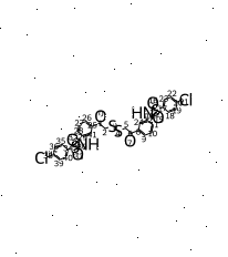 O=C(CSSCC(=O)c1cccc(NS(=O)(=O)c2ccc(Cl)cc2)c1)c1cccc(NS(=O)(=O)c2ccc(Cl)cc2)c1